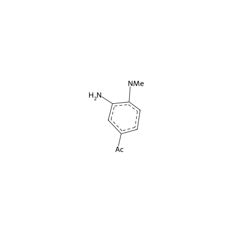 CNc1ccc(C(C)=O)cc1N